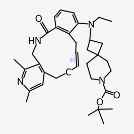 CCN(c1cccc2c1C/C=C/CCc1cc(C)nc(C)c1CNC2=O)C1CC2(CCN(C(=O)OC(C)(C)C)CC2)C1